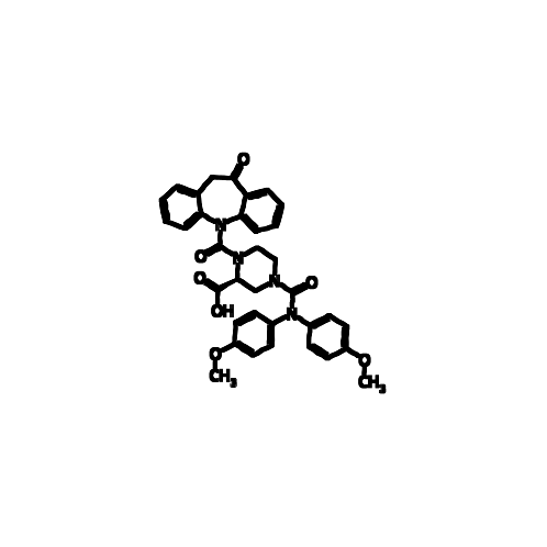 COc1ccc(N(C(=O)N2CCN(C(=O)N3c4ccccc4CC(=O)c4ccccc43)[C@H](C(=O)O)C2)c2ccc(OC)cc2)cc1